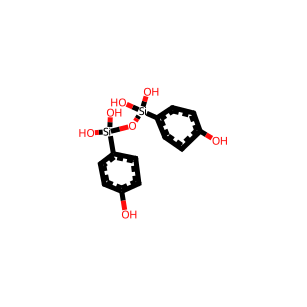 Oc1ccc([Si](O)(O)O[Si](O)(O)c2ccc(O)cc2)cc1